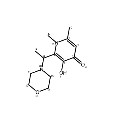 Cc1cc(=O)c(O)c(C(C)N2CCOCC2)n1C